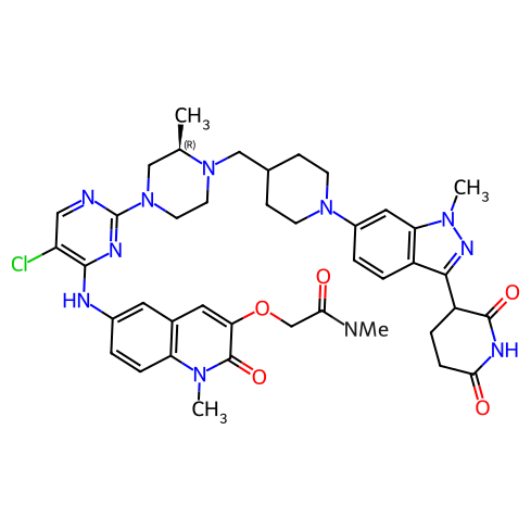 CNC(=O)COc1cc2cc(Nc3nc(N4CCN(CC5CCN(c6ccc7c(C8CCC(=O)NC8=O)nn(C)c7c6)CC5)[C@H](C)C4)ncc3Cl)ccc2n(C)c1=O